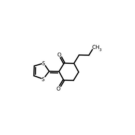 CCCC1CCC(=O)C(=C2SC=CS2)C1=O